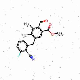 COC(=O)c1cc(Cc2cccc(F)c2C#N)c(C)c(C)c1C=O